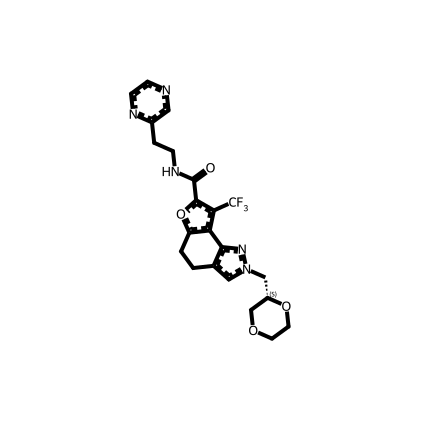 O=C(NCCc1cnccn1)c1oc2c(c1C(F)(F)F)-c1nn(C[C@H]3COCCO3)cc1CC2